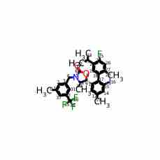 Cc1cc(CN2C(=O)O[C@H](c3cc(C)cc(I)c3-c3cc(C(C)C)c(F)cc3C)[C@H]2C)cc(C(F)(F)F)c1